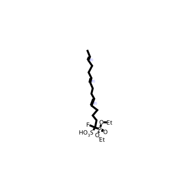 C/C=C/CC/C=C/CC/C=C/CCCC(F)(P(=O)(OCC)OCC)S(=O)(=O)O